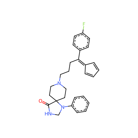 O=C1NCN(c2ccccc2)C12CCN(CCCC(=C1C=CC=C1)c1ccc(F)cc1)CC2